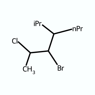 CCCC(C(C)C)C(Br)C(C)Cl